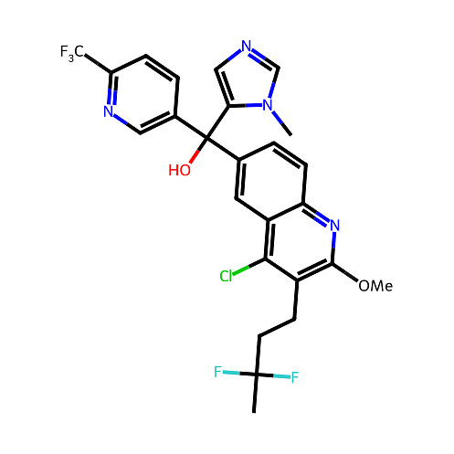 COc1nc2ccc(C(O)(c3ccc(C(F)(F)F)nc3)c3cncn3C)cc2c(Cl)c1CCC(C)(F)F